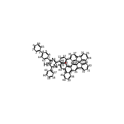 c1ccc(-c2ccc(C3=NC(c4ccc(-c5ccc6c(c5)C5(c7ccccc7-6)c6ccccc6-c6cc7c8ccccc8c8ccccc8c7cc65)cc4)=NC(c4ccccc4)N3)cc2)cc1